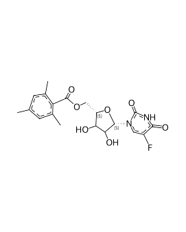 Cc1cc(C)c(C(=O)OC[C@@H]2O[C@H](n3cc(F)c(=O)[nH]c3=O)C(O)C2O)c(C)c1